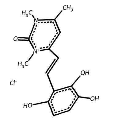 Cc1cc(C=Cc2c(O)ccc(O)c2O)[n+](C)c(=O)n1C.[Cl-]